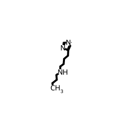 CCCCNCCCCC1=C[N]C=N1